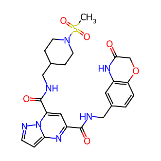 CS(=O)(=O)N1CCC(CNC(=O)c2cc(C(=O)NCc3ccc4c(c3)NC(=O)CO4)nc3ccnn23)CC1